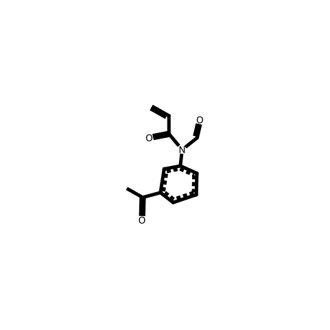 C=CC(=O)N(C=O)c1cccc(C(C)=O)c1